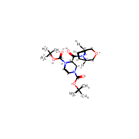 CC(C)(C)OC(=O)N1CCN(C(=O)OC(C)(C)C)[C@@H](C(=O)N2[C@@H]3CC[C@H]2COC3)C1